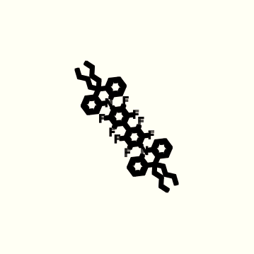 CCCCC1(CCCC)c2ccccc2N(c2c(F)c(F)c(-c3c(F)c(F)c(N4c5ccccc5C(CCCC)(CCCC)c5ccccc54)c(F)c3F)c(F)c2F)c2ccccc21